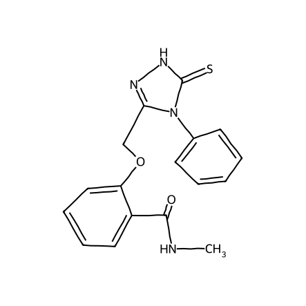 CNC(=O)c1ccccc1OCc1n[nH]c(=S)n1-c1ccccc1